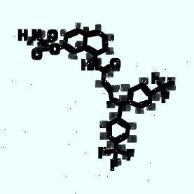 NS(=O)(=O)Oc1ccc2cccc(NC(=O)C=CC=C(c3ccc(C(F)(F)F)cc3)c3ccc(C(F)(F)F)cc3)c2c1